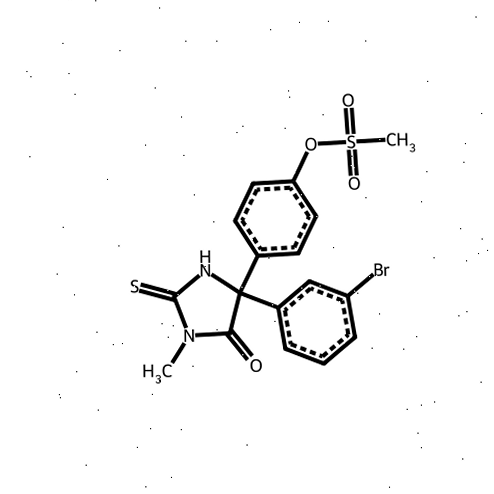 CN1C(=O)C(c2ccc(OS(C)(=O)=O)cc2)(c2cccc(Br)c2)NC1=S